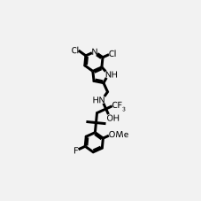 COc1ccc(F)cc1C(C)(C)CC(O)(NCc1cc2cc(Cl)nc(Cl)c2[nH]1)C(F)(F)F